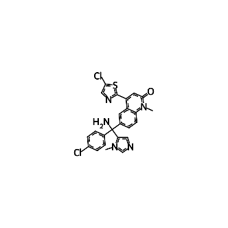 Cn1cncc1C(N)(c1ccc(Cl)cc1)c1ccc2c(c1)c(-c1ncc(Cl)s1)cc(=O)n2C